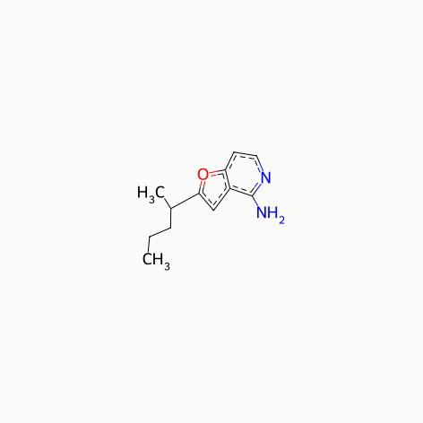 CCCC(C)c1cc2c(N)nccc2o1